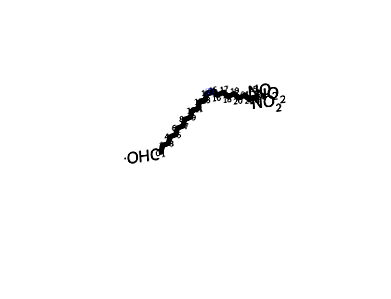 O=[C]CCCCCCCCCCCCC/C=C\CCCCCCCC([N+](=O)[O-])([N+](=O)[O-])[N+](=O)[O-]